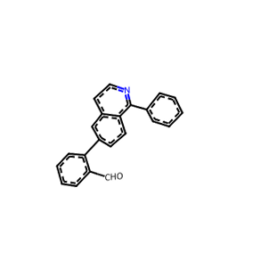 O=Cc1ccccc1-c1ccc2c(-c3ccccc3)nccc2c1